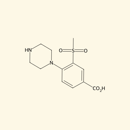 CS(=O)(=O)c1cc(C(=O)O)ccc1N1CCNCC1